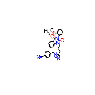 COc1ccccc1-n1c(=O)c2ccccc2n(CCCc2cncn2Cc2ccc(C#N)cc2)c1=O